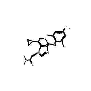 Cc1cc(C(F)(F)F)cc(C)c1Nc1ncc(C2CC2)c2c1ncn2CC(=O)N(C)C